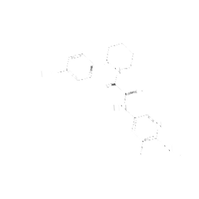 Cc1cc(NC(=O)C(=O)N2CCCC[C@H]2c2ccc(C(F)(F)F)cc2)cnc1N